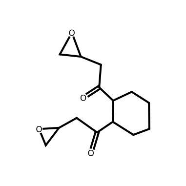 O=C(CC1CO1)C1CCCCC1C(=O)CC1CO1